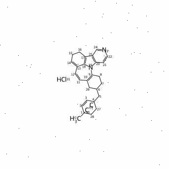 CC12C=CC(CC3CCC4=C(C=CC5=CCCc6c5n4c4ccncc64)C3)(CC1)CC2.Cl